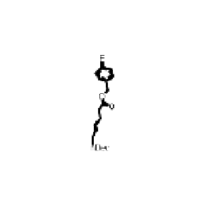 CCCCCCCCCCCCCCCC(=O)OCc1ccc(F)cc1